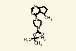 CC1CCc2ncnc(N3CCN(C(=O)OC(C)(C)C)CC3)c21